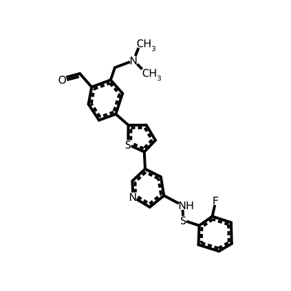 CN(C)Cc1cc(-c2ccc(-c3cncc(NSc4ccccc4F)c3)s2)ccc1C=O